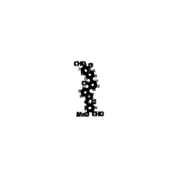 COc1nc(C=C2CCc3c2cccc3-c2cccc(-c3ccn4c(=O)c(C=O)cnc4c3)c2Cl)c(Cl)cc1C=O